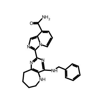 NC(=O)c1cccn2c(-c3nc4c(c(NCc5ccccc5)n3)NCCCC4)ncc12